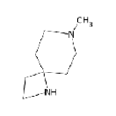 CN1CCC2(CCN2)CC1